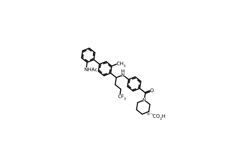 CC(=O)Nc1ccccc1-c1ccc(C(CCC(F)(F)F)Nc2ccc(C(=O)N3CCC[C@@H](C(=O)O)C3)cc2)c(C)c1